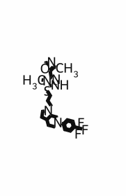 Cc1ncoc1C1=NNC(SCCCN2CCC3CCN(c4ccc(C(F)(F)F)cc4)CC32)N1C